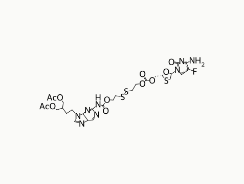 CC(=O)OCC(CCN1C=NC2C=NC(NC(=O)OCCSSCCOC(=O)OC[C@@H]3OC(n4cc(F)c(N)nc4=O)CS3)=NC21)COC(C)=O